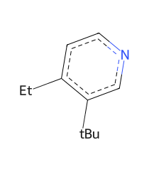 CCc1ccncc1C(C)(C)C